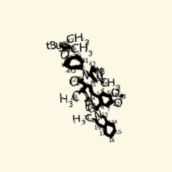 [CH2]Cn1c(-c2cc3c(cc2C(=O)N2Cc4ccccc4C[C@H]2C)OCO3)cc(C(=O)N(c2ccc(O[Si](C)(C)C(C)(C)C)cc2)c2cnn(C)c2)c1C